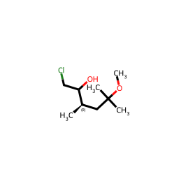 COC(C)(C)C[C@@H](C)C(O)CCl